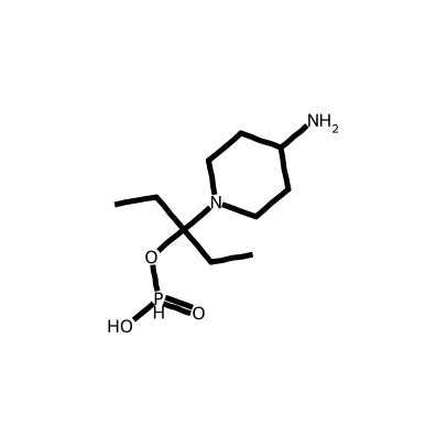 CCC(CC)(O[PH](=O)O)N1CCC(N)CC1